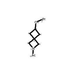 CC(=O)N1CC2(CC(OC(C)C)C2)C1